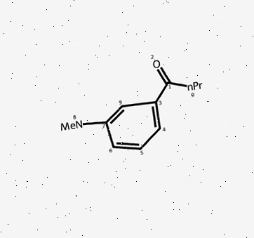 CCCC(=O)c1cccc(NC)c1